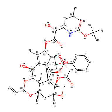 C=C[C@H]1O[C@H]2C[C@H]3OC[C@@]3(OC(C)=O)[C@H]3[C@H](OC(=O)c4ccccc4)[C@]4(C(C)(C)O)C[C@H](OC(=O)[C@H](O)[C@H](CC(C)C)NC(=O)OC(C)(C)C)C(C)=C4[C@H](O)[C@H](O1)[C@]23C